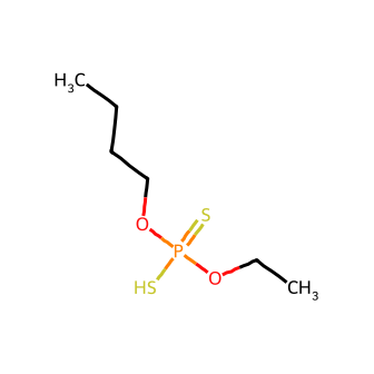 CCCCOP(=S)(S)OCC